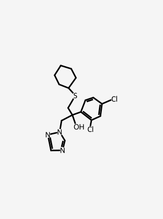 OC(CSC1CCCCC1)(Cn1cncn1)c1ccc(Cl)cc1Cl